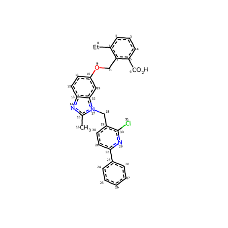 CCc1cccc(C(=O)O)c1COc1ccc2nc(C)n(Cc3ccc(-c4ccccc4)nc3Cl)c2c1